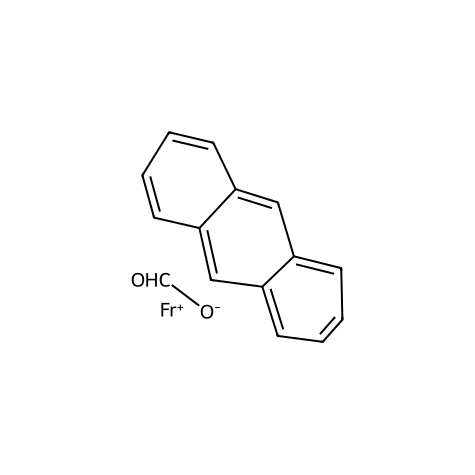 O=C[O-].[Fr+].c1ccc2cc3ccccc3cc2c1